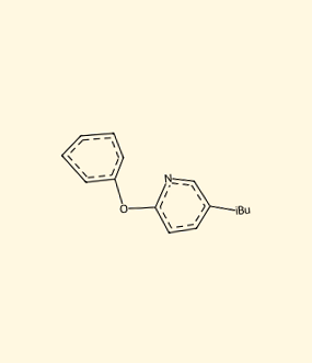 CCC(C)c1ccc(Oc2ccccc2)nc1